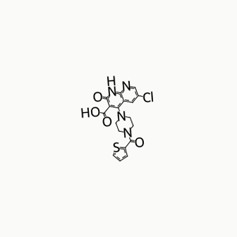 O=C(O)c1c(N2CCN(C(=O)c3cccs3)CC2)c2cc(Cl)cnc2[nH]c1=O